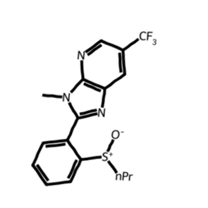 CCC[S+]([O-])c1ccccc1-c1nc2cc(C(F)(F)F)cnc2n1C